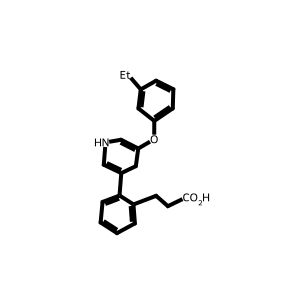 CCc1cccc(OC2=CNC=C(c3ccccc3CCC(=O)O)C2)c1